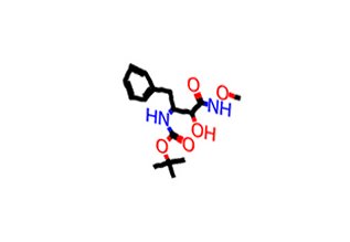 CONC(=O)C(O)C(Cc1ccccc1)NC(=O)OC(C)(C)C